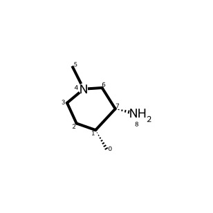 C[C@@H]1CCN(C)C[C@@H]1N